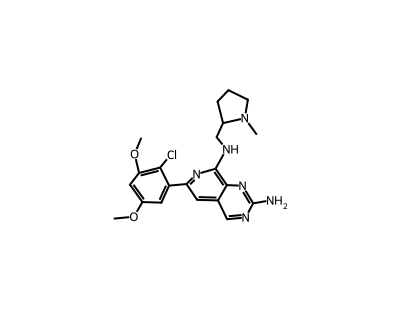 COc1cc(OC)c(Cl)c(-c2cc3cnc(N)nc3c(NCC3CCCN3C)n2)c1